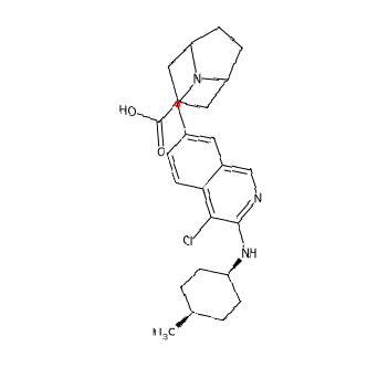 C[C@H]1CC[C@@H](Nc2ncc3cc(CN4C5CCC4CC(C(=O)O)C5)ccc3c2Cl)CC1